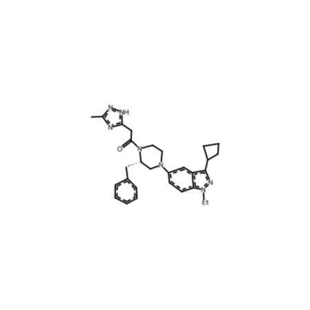 CCn1nc(C2CCC2)c2cc(N3CCN(C(=O)Cc4nc(C)n[nH]4)[C@@H](Cc4ccccc4)C3)ccc21